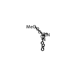 COCCOCCOCCNC(=O)C(C#N)=Cc1ccc(-c2ccc3cc(N4CCCCC4)ccc3c2)n1C